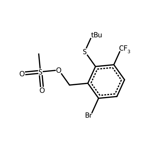 CC(C)(C)Sc1c(C(F)(F)F)ccc(Br)c1COS(C)(=O)=O